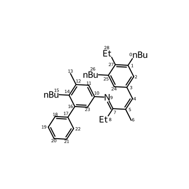 CCCCc1cc(C=C(C)C(CC)=Nc2cc(C)c(CCCC)c(-c3ccccc3)c2)cc(CCCC)c1CC